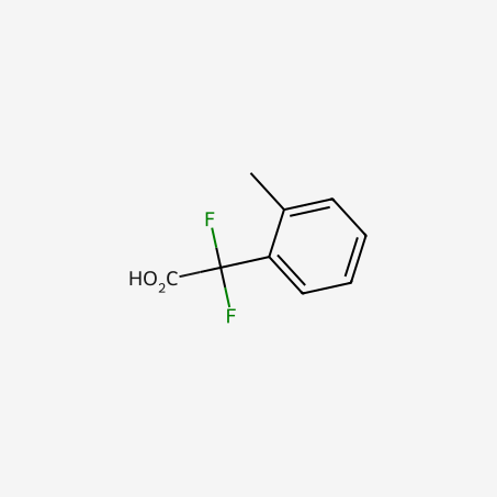 Cc1ccccc1C(F)(F)C(=O)O